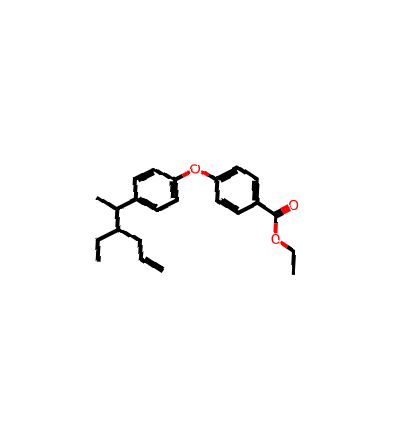 C=CCC(CC)C(C)c1ccc(Oc2ccc(C(=O)OCC)cc2)cc1